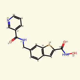 O=C(NCc1ccc2cc(C(=O)NO)sc2c1)c1cccnc1